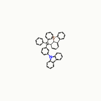 C1=CC([Si](c2ccccc2)(c2ccccc2)c2cccc(-n3c4ccccc4c4ccccc43)c2)C2Sc3ccccc3C2=C1